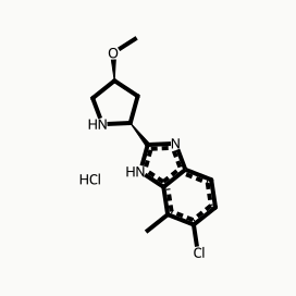 CO[C@@H]1CN[C@H](c2nc3ccc(Cl)c(C)c3[nH]2)C1.Cl